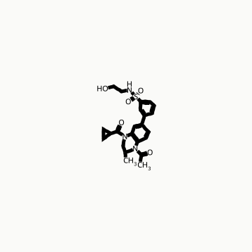 CC(=O)N1c2ccc(-c3cccc(S(=O)(=O)NCCO)c3)cc2N(C(=O)C2CC2)CC1C